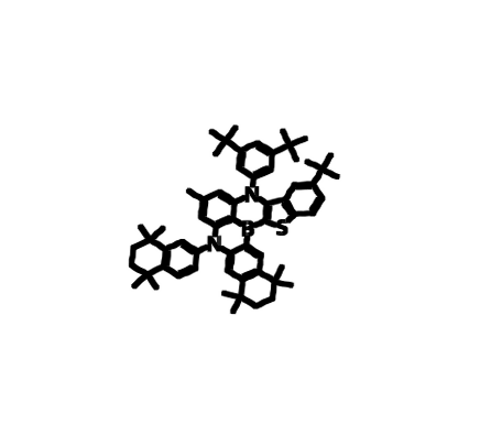 Cc1cc2c3c(c1)N(c1cc(C(C)(C)C)cc(C(C)(C)C)c1)c1c(sc4ccc(C(C)(C)C)cc14)B3c1cc3c(cc1N2c1ccc2c(c1)C(C)(C)CCC2(C)C)C(C)(C)CCC3(C)C